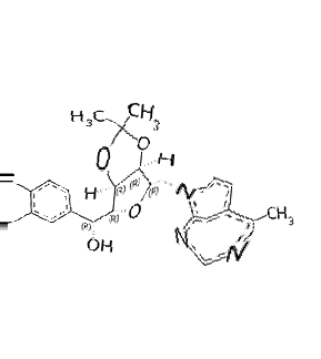 Cc1ncnc2c1ccn2[C@@H]1O[C@H]([C@H](O)c2ccc(F)c(Br)c2)[C@H]2OC(C)(C)O[C@H]21